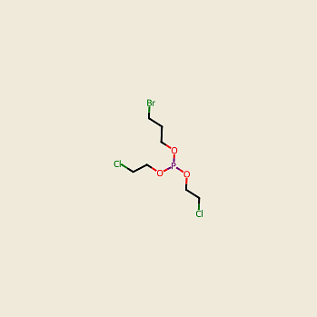 ClCCOP(OCCCl)OCCCBr